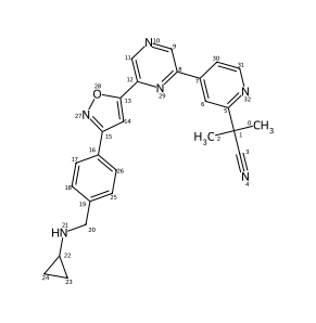 CC(C)(C#N)c1cc(-c2cncc(-c3cc(-c4ccc(CNC5CC5)cc4)no3)n2)ccn1